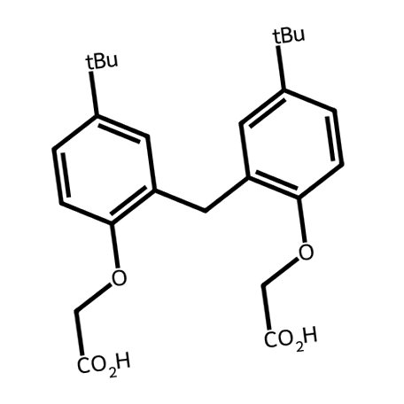 CC(C)(C)c1ccc(OCC(=O)O)c(Cc2cc(C(C)(C)C)ccc2OCC(=O)O)c1